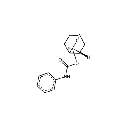 O=C(Nc1ccccc1)O[C@H]1CN2CCC1CC2